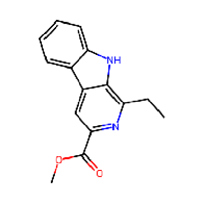 CCc1nc(C(=O)OC)cc2c1[nH]c1ccccc12